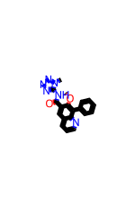 COc1c(C(=O)Nc2nnnn2C)cc2cccnc2c1-c1ccccc1